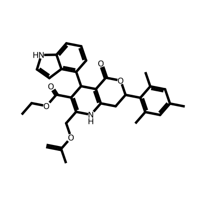 C=C(C)OCC1=C(C(=O)OCC)C(c2cccc3[nH]ccc23)C2=C(CC(c3c(C)cc(C)cc3C)OC2=O)N1